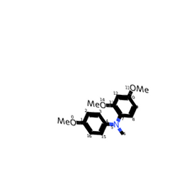 COc1ccc(N(C)c2ccc(OC)cc2OC)cc1